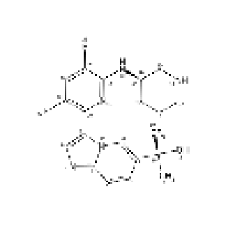 C[C@@](O)(c1ccc2ncc(-c3nc(N[C@@H]4CCCNC4)c(F)cc3F)n2c1)C(F)(F)F